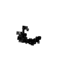 CC12CCC(O[C@H]3OCC(NC(=O)C(N)CCCCN)[C@@H](O)C3O)C=C1CC[C@@H]1[C@@H]2CCC2(C)[C@@H](c3ccc(=O)oc3)CCC12O